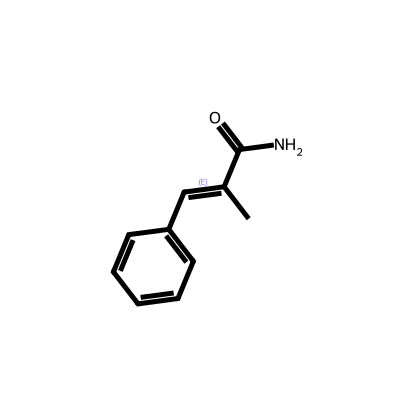 C/C(=C\c1ccccc1)C(N)=O